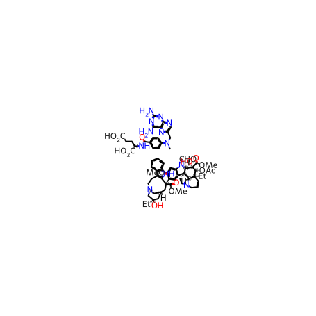 CC[C@]1(O)C[C@H]2C[N@](CCc3c([nH]c4ccccc34)[C@@](C(=O)OC)(c3cc4c(cc3OC)N(C=O)[C@H]3[C@@](O)(C(=O)OC)[C@H](OC(C)=O)[C@]5(CC)C=CCN6CC[C@]43[C@@H]65)C2)C1.CN(Cc1cnc2nc(N)nc(N)c2n1)c1ccc(C(=O)N[C@@H](CCC(=O)O)C(=O)O)cc1